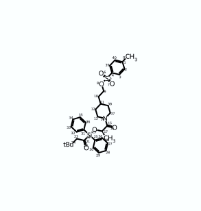 Cc1ccc(S(=O)(=O)OCCC2CCN(C(=O)[C@@H](C)O[Si](C(=O)CC(C)(C)C)(c3ccccc3)c3ccccc3)CC2)cc1